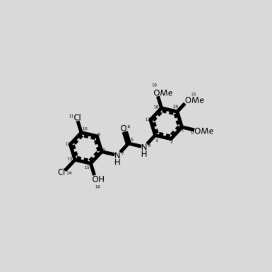 COc1cc(NC(=O)Nc2cc(Cl)cc(Cl)c2O)cc(OC)c1OC